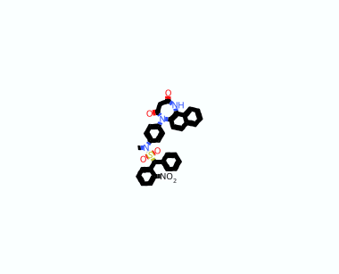 CN(c1ccc(N2C(=O)CC(=O)Nc3c2ccc2ccccc32)cc1)S(=O)(=O)C(c1ccccc1)c1ccccc1[N+](=O)[O-]